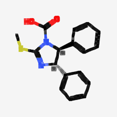 CSC1=N[C@@H](c2ccccc2)[C@H](c2ccccc2)N1C(=O)O